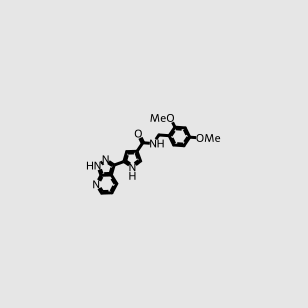 COc1ccc(CNC(=O)c2c[nH]c(-c3n[nH]c4ncccc34)c2)c(OC)c1